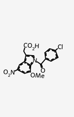 COc1cc([N+](=O)[O-])cc2c(CC(=O)O)cn(C(=O)c3ccc(Cl)cc3)c12